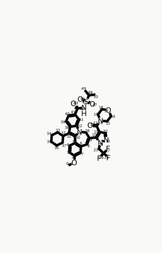 COc1ccc2c(c1)C=C(c1c(C(=O)N3CCOCC3)cnn1CC(F)(F)F)Cn1c-2c(C2CCCCC2)c2ccc(C(=O)NS(=O)(=O)C(C)C)cc21